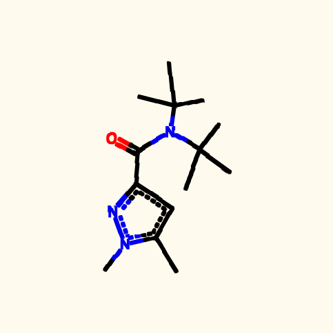 Cc1cc(C(=O)N(C(C)(C)C)C(C)(C)C)nn1C